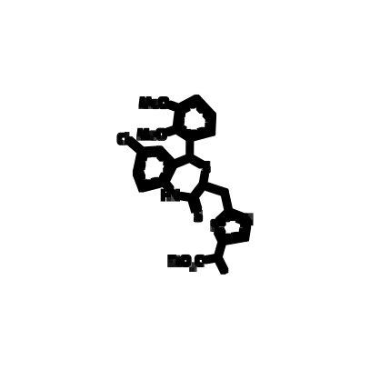 CCOC(=O)C(C)c1cnc(CC2SC(c3cccc(OC)c3OC)c3cc(Cl)ccc3NC2=S)s1